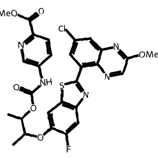 COC(=O)c1ccc(NC(=O)OC(C)C(C)Oc2cc3sc(-c4cc(Cl)cc5nc(OC)cnc45)nc3cc2F)cn1